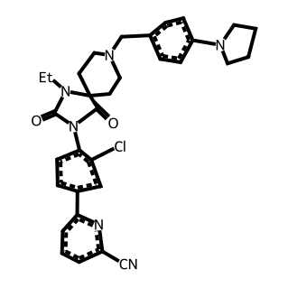 CCN1C(=O)N(c2ccc(-c3cccc(C#N)n3)cc2Cl)C(=O)C12CCN(Cc1ccc(N3CCCC3)cc1)CC2